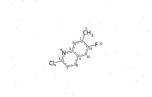 Cc1cc2nc(Cl)ccc2cc1F